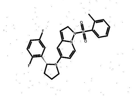 Cc1ccccc1S(=O)(=O)N1CC=C2C=C(N3CCC[C@@H]3c3cc(F)ccc3F)C=CN21